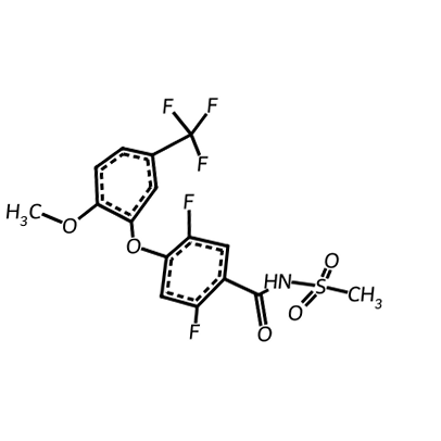 COc1ccc(C(F)(F)F)cc1Oc1cc(F)c(C(=O)NS(C)(=O)=O)cc1F